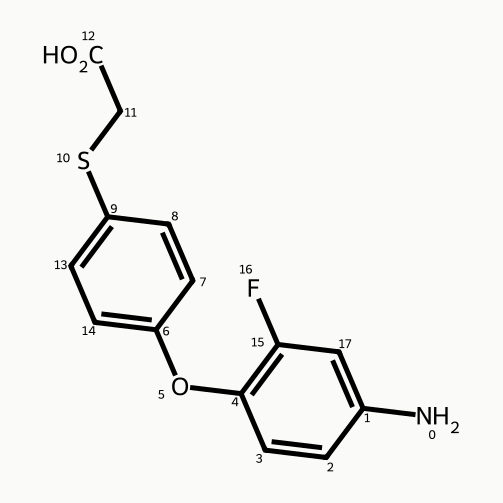 Nc1ccc(Oc2ccc(SCC(=O)O)cc2)c(F)c1